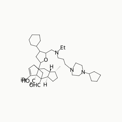 CCN(CCCN1CCN(C2CCCC2)CC1)CC1OC(C23C[C@@H]4[C@H](C)CC[C@H]4C4(C=O)CC2C=C(C(C)C)[C@@]34C(=O)O)CC1C1CCCCC1